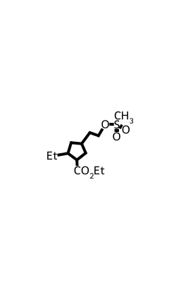 CCOC(=O)C1CC(CCOS(C)(=O)=O)CC1CC